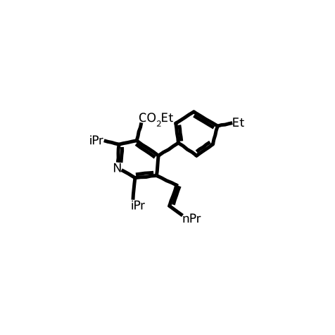 CCCC=Cc1c(C(C)C)nc(C(C)C)c(C(=O)OCC)c1-c1ccc(CC)cc1